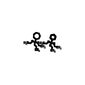 CCC[Si](OCC)(OCC)C1CCCCCC1.CCO[Si](OCC)(OCC)c1ccccc1